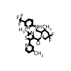 Cc1ccnc(-c2sc(C)nc2C(=O)N2CC(F)(F)CC(C)C2CNc2ccc(C(F)(F)F)cn2)c1